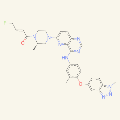 Cc1cc(Nc2ncnc3ccc(N4CCN(C(=O)/C=C/CF)[C@H](C)C4)nc23)ccc1Oc1ccc2c(c1)nnn2C